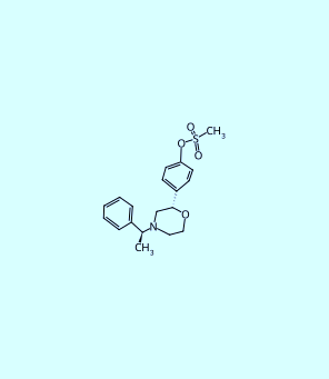 C[C@@H](c1ccccc1)N1CCO[C@@H](c2ccc(OS(C)(=O)=O)cc2)C1